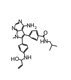 C=CC(O)Nc1ccc(-c2c(-c3ccc(C(=O)NCC(C)C)cc3)c3c(N)ncnc3n2C)cc1